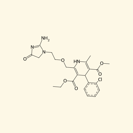 CCOC(=O)C1=C(COCCN2CC(=O)N=C2N)NC(C)=C(C(=O)OC)C1c1ccccc1Cl